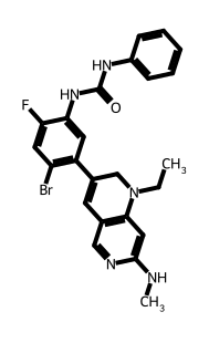 CCN1CC(c2cc(NC(=O)Nc3ccccc3)c(F)cc2Br)=Cc2cnc(NC)cc21